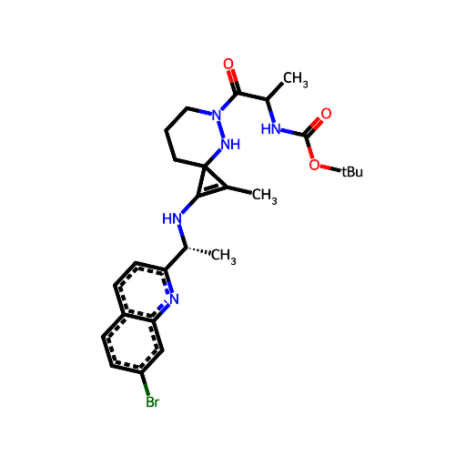 CC1=C(N[C@H](C)c2ccc3ccc(Br)cc3n2)C12CCCN(C(=O)C(C)NC(=O)OC(C)(C)C)N2